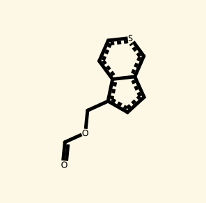 O=COCc1ccc2csccc1-2